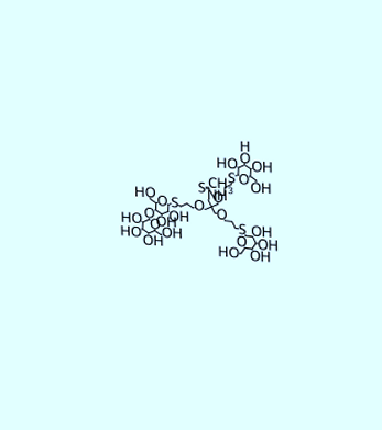 CC(=S)NCC(COCCCS[C@@H]1OC(CO)[C@@H](O)C(O)C1O)(COCCCS[C@@H]1OC(CO)[C@@H](O)C(O)C1O)COCCCS[C@@H]1OC(CO)[C@@H](O[C@@H]2OC(CO)[C@H](O)C(O)[C@@H]2O)C(O)[C@@H]1O